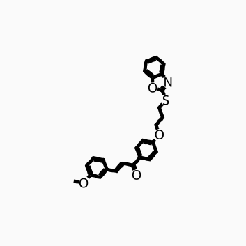 COc1cccc(/C=C/C(=O)c2ccc(OCCCSc3nc4ccccc4o3)cc2)c1